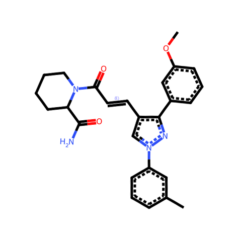 COc1cccc(-c2nn(-c3cccc(C)c3)cc2/C=C/C(=O)N2CCCCC2C(N)=O)c1